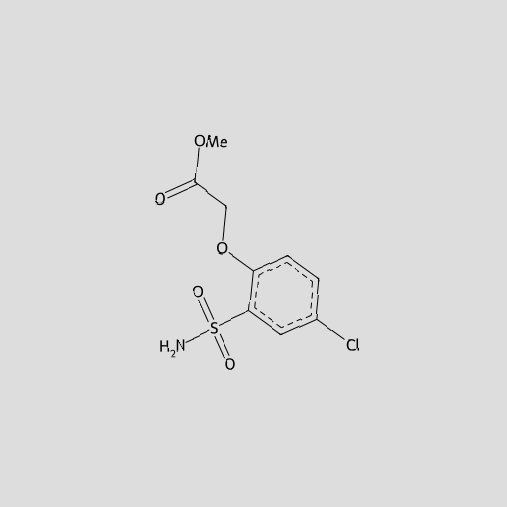 COC(=O)COc1ccc(Cl)cc1S(N)(=O)=O